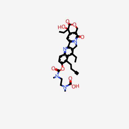 C#CCCc1c(OC(=O)N(C)CCN(C)C(=O)O)ccc2nc3c(c(CC)c12)Cn1c-3cc2c(c1=O)COC(=O)C2(O)CC